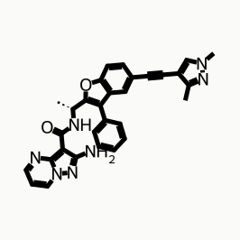 Cc1nn(C)cc1C#Cc1ccc2oc([C@@H](C)NC(=O)c3c(N)nn4cccnc34)c(-c3ccccc3)c2c1